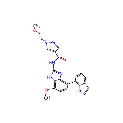 COCCn1cc(C(=O)Nc2nc3c(-c4cccc5cc[nH]c45)ccc(OC)c3[nH]2)cn1